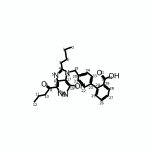 CCCCc1nc2c(C(=O)CCC)nnc(O)c2n1Cc1ccc(-c2ccccc2C(=O)O)cc1